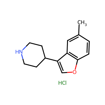 Cc1ccc2occ(C3CCNCC3)c2c1.Cl